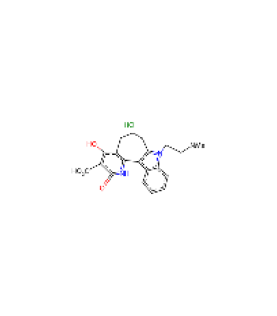 CNCCn1c2c(c3ccccc31)-c1[nH]c(=O)c(C(=O)O)c(O)c1CCC2.Cl